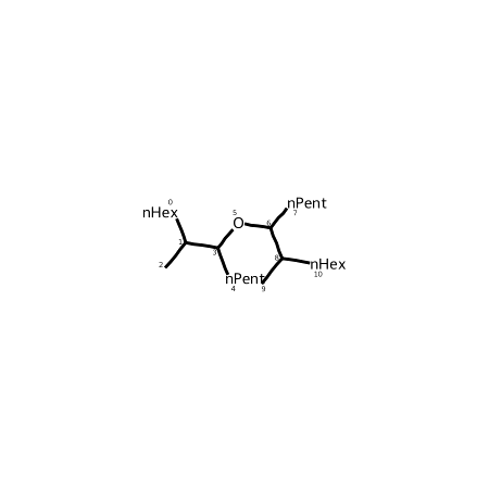 CCCCCCC(C)C(CCCCC)OC(CCCCC)C(C)CCCCCC